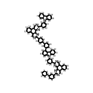 c1ccc(-c2cccc(-c3ncc4c5ccccc5c5cnc(-c6cccc(-n7c8ccccc8c8c(-c9cccc(-c%10ccc(-c%11ncc%12c%13ccccc%13c%13cnc(-c%14cccc(-n%15c%16ccccc%16c%16ccccc%16%15)c%14)nc%13c%12n%11)cc%10)c9)cccc87)c6)nc5c4n3)c2)cc1